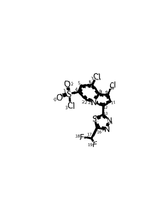 O=S(=O)(Cl)c1cc(Cl)c2c(Cl)cc(-c3nnc(C(F)F)s3)n2c1